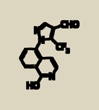 O=Cc1cnn(-c2cccc3c(O)nccc23)c1C(F)(F)F